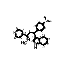 CN(C)c1ccc(C(C/C(=N/O)c2ccncc2)c2c[nH]c3ccccc23)cc1